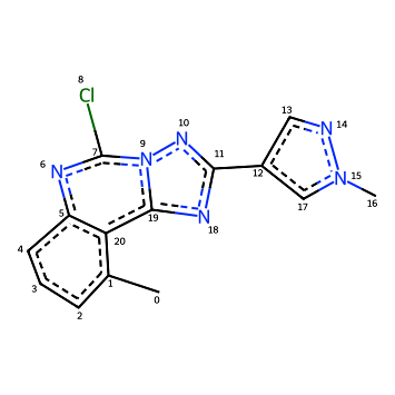 Cc1cccc2nc(Cl)n3nc(-c4cnn(C)c4)nc3c12